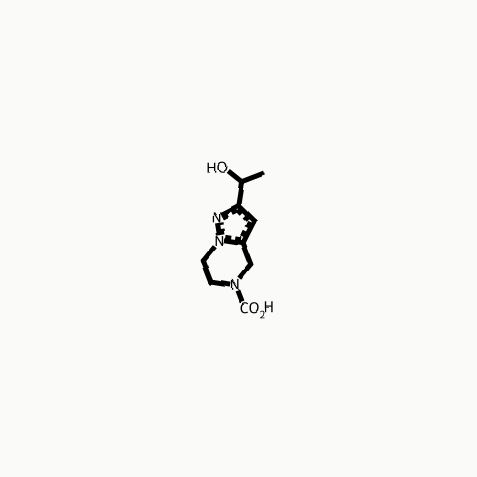 CC(O)c1cc2n(n1)CCN(C(=O)O)C2